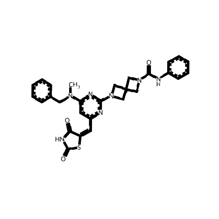 CN(Cc1ccccc1)c1cc(C=C2SC(=O)NC2=O)nc(N2CC3(CN(C(=O)Nc4ccccc4)C3)C2)n1